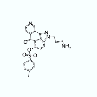 Cc1ccc(S(=O)(=O)Oc2ccc3c4c(nn3CC=CN)-c3cnccc3C(=O)c24)cc1